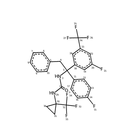 O=C(NC(Cc1ccccc1)(c1ccc(F)cc1)c1cc(F)cc(C(F)(F)F)c1)NC1(C(F)(F)F)CC1